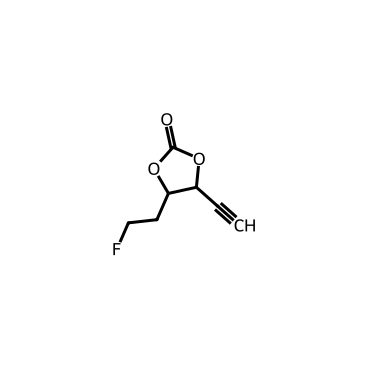 C#CC1OC(=O)OC1CCF